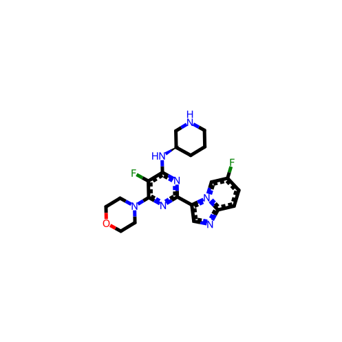 Fc1ccc2ncc(-c3nc(N[C@@H]4CCCNC4)c(F)c(N4CCOCC4)n3)n2c1